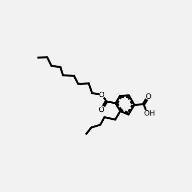 CCCCCCCCCOC(=O)c1ccc(C(=O)O)cc1CCCCC